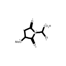 CCC(C(=O)O)N1C(=O)CC(OC)C1=O